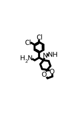 N=NC1(C(CN)c2ccc(Cl)c(Cl)c2)CCC2(CC1)OCCO2